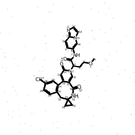 COCCC(C(=O)Nc1ccc2nccn2c1)n1cc2c(cc1=O)-c1cc(Cl)ccc1CC1(CC1)NC2=O